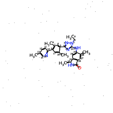 CCn1nc(-c2cc(C)c(-c3ccc(C)cn3)cc2C)nc1Nc1cc2c(cc1C)C(=O)NC2C